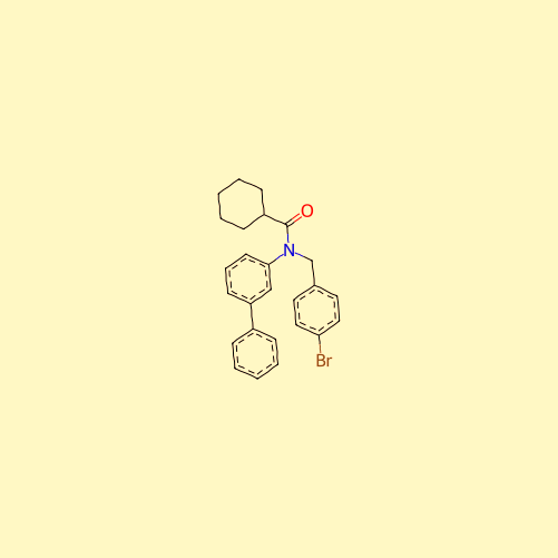 O=C(C1CCCCC1)N(Cc1ccc(Br)cc1)c1cccc(-c2ccccc2)c1